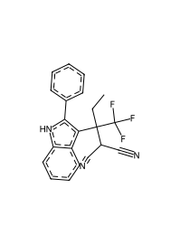 CCC(c1c(-c2ccccc2)[nH]c2ccccc12)(C(C#N)C#N)C(F)(F)F